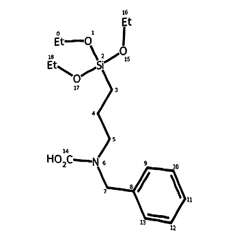 CCO[Si](CCCN(Cc1ccccc1)C(=O)O)(OCC)OCC